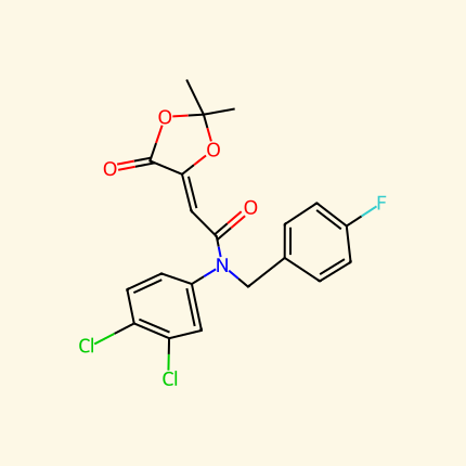 CC1(C)OC(=O)C(=CC(=O)N(Cc2ccc(F)cc2)c2ccc(Cl)c(Cl)c2)O1